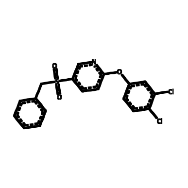 O=S(=O)(Cc1ccccc1)c1ccc(Oc2ccc(Cl)c(Cl)c2)nc1